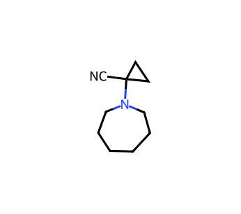 N#CC1(N2CCCCCC2)CC1